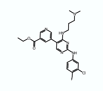 CCOC(=O)c1cncc(-c2cnc(Nc3ccc(F)c(Cl)c3)nc2NCCCN(C)C)c1